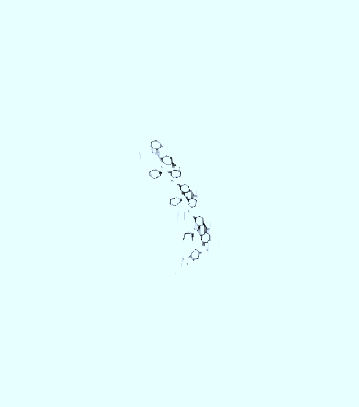 Nc1ccc(Nc2ccc3nc4ccc(Nc5ccc6nc7ccc(Nc8ccc9nc%10ccc(Nc%11ccccc%11)cc%10[n+](-c%10ccccc%10)c9c8)cc7[n+](-c7ccccc7)c6c5)cc4[n+](-c4ccccc4)c3c2)cc1